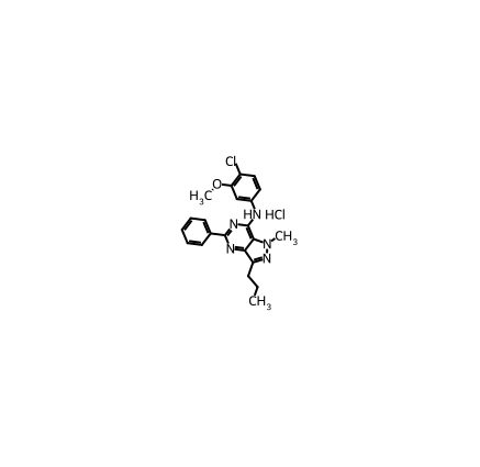 CCCc1nn(C)c2c(Nc3ccc(Cl)c(OC)c3)nc(-c3ccccc3)nc12.Cl